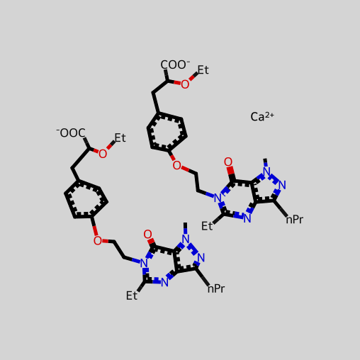 CCCc1nn(C)c2c(=O)n(CCOc3ccc(CC(OCC)C(=O)[O-])cc3)c(CC)nc12.CCCc1nn(C)c2c(=O)n(CCOc3ccc(CC(OCC)C(=O)[O-])cc3)c(CC)nc12.[Ca+2]